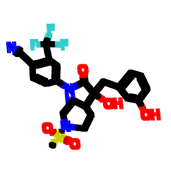 CS(=O)(=O)N1CCC(C(O)(Cc2cccc(O)c2)C(=O)Nc2ccc(C#N)c(C(F)(F)F)c2)CC1